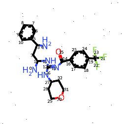 NC(CC(N)c1ccccc1)N/C(=N\C(=O)c1ccc(C(F)(F)F)cc1)NC1CCOCC1